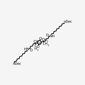 CCCCCCCCCCCCCCCCCCCCNC(=O)CCCC(C)(C)C1=CC(=O)C(C(C)(C)CCCC(=O)NCCCCCCCCCCCCCCCCCCCC)=CC1=O